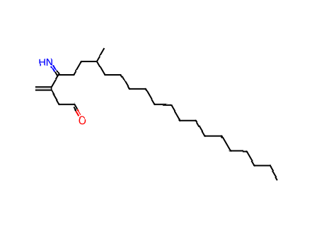 C=C(CC=O)C(=N)CCC(C)CCCCCCCCCCCCCCC